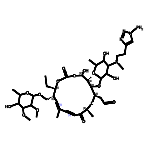 CC[C@H]1OC(=O)C[C@@H](O)[C@H](C)[C@@H](OC2OC(C)C(O)C(N(C)CCc3cn(P)nn3)C2O)[C@@H](CC=O)C[C@@H](C)C(=O)/C=C/C(C)=C/[C@@H]1COC1OC(C)C(O)C(OC)C1OC